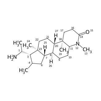 CC(N)[C@H]1C(C)C[C@H]2[C@@H]3CCC4N(C)C(=O)CC[C@]4(C)[C@H]3CC[C@]12C